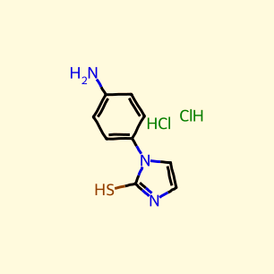 Cl.Cl.Nc1ccc(-n2ccnc2S)cc1